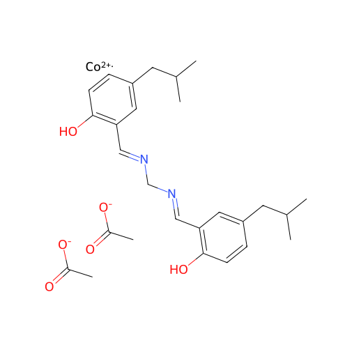 CC(=O)[O-].CC(=O)[O-].CC(C)Cc1ccc(O)c(C=NCN=Cc2cc(CC(C)C)ccc2O)c1.[Co+2]